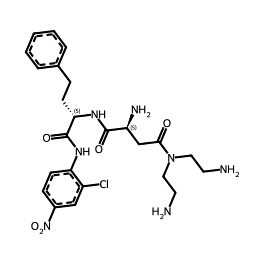 NCCN(CCN)C(=O)C[C@H](N)C(=O)N[C@@H](CCc1ccccc1)C(=O)Nc1ccc([N+](=O)[O-])cc1Cl